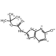 CC(C)(C)OC(=O)Nc1nc2cnc(Cl)nc2s1